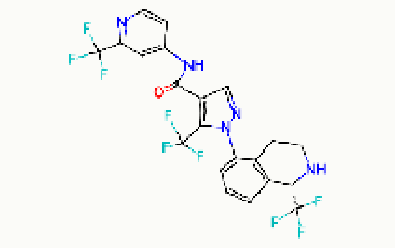 O=C(Nc1ccnc(C(F)(F)F)c1)c1cnn(-c2cccc3c2CCN[C@@H]3C(F)(F)F)c1C(F)(F)F